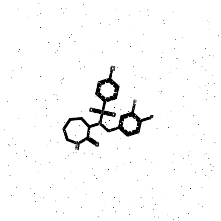 O=C1NCCCCC1N(Cc1ccc(F)c(F)c1)S(=O)(=O)c1ccc(Cl)cc1